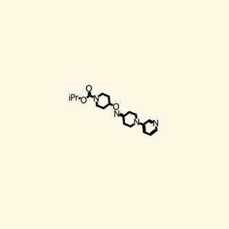 CC(C)OC(=O)N1CCC(ON=C2CCN(c3cccnc3)CC2)CC1